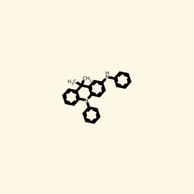 CC1(C)c2ccccc2N(c2ccccc2)c2ccc(Nc3ccccc3)cc21